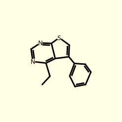 CCc1ncnc2scc(-c3ccccc3)c12